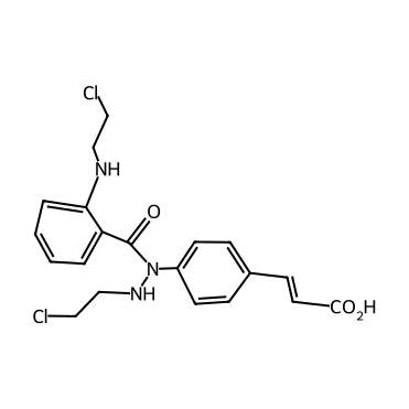 O=C(O)C=Cc1ccc(N(NCCCl)C(=O)c2ccccc2NCCCl)cc1